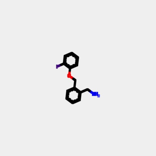 NCc1ccccc1COc1ccccc1I